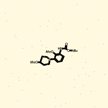 COc1c(NC(=O)OC(C)(C)C)cccc1N1CCC(OC)CC1